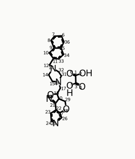 O=C(O)C(=O)O.c1ccc2cc(CN3CCN(CC4ON=C5c6ccncc6OCC54)CC3)ccc2c1